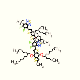 CCCCCCC(CCCC)COc1c2cc(-c3c(F)c(F)c(-c4cc5c(s4)-c4sc(-c6c(F)c(F)c(C)c7nsnc67)cc4[Si]5(CC(CC)CCCC)CC(CC)CCCC)c4nsnc34)sc2c(OCC(CCCC)CCCCCC)c2cc(C)sc12